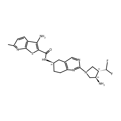 Cc1ccc2c(N)c(C(=O)N[C@@H]3CCc4nc(N5C[C@H](C(F)F)[C@@H](N)C5)ncc4C3)sc2n1